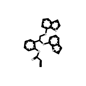 C=CC(=O)Oc1ccccc1C(CSc1cccc2ccsc12)Sc1cccc2ccsc12